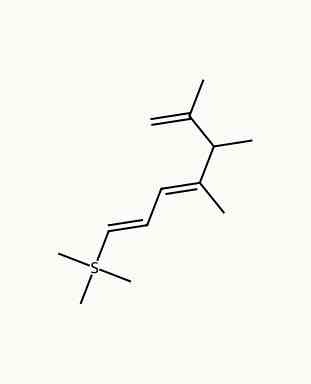 C=C(C)C(C)/C(C)=C/C=C/S(C)(C)C